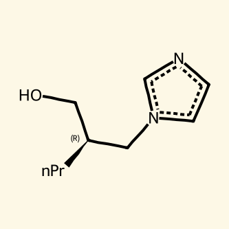 CCC[C@@H](CO)Cn1ccnc1